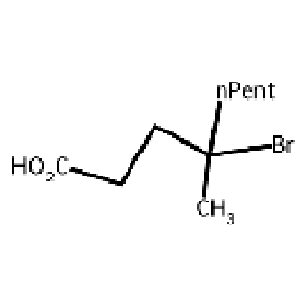 CCCCCC(C)(Br)CCC(=O)O